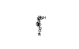 CN(CCOc1ccc(C#N)cc1)S(=O)(=O)N1CCN(c2ncnc3[nH]ccc23)CC12CC2